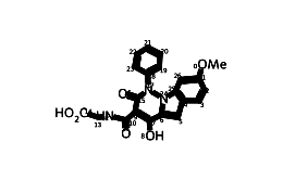 COc1ccc2cc3c(O)c(C(=O)NCC(=O)O)c(=O)n(-c4ccccc4)n3c2c1